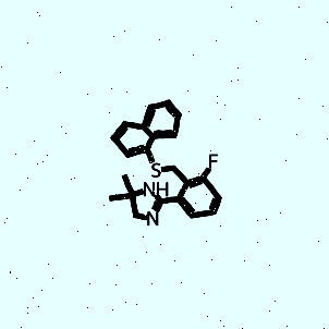 CC1(C)CN=C(c2cccc(F)c2CSc2cccc3ccccc23)N1